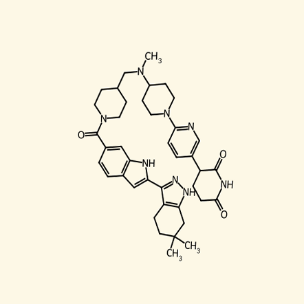 CN(CC1CCN(C(=O)c2ccc3cc(-c4n[nH]c5c4CCC(C)(C)C5)[nH]c3c2)CC1)C1CCN(c2ccc(C3CCC(=O)NC3=O)cn2)CC1